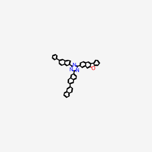 c1ccc(-c2ccc3cc(-c4nc(-c5ccc6cc(-c7ccc8ccccc8c7)ccc6c5)nc(-c5ccc6cc7c(cc6c5)oc5ccccc57)n4)ccc3c2)cc1